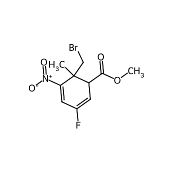 COC(=O)C1C=C(F)C=C([N+](=O)[O-])C1(C)CBr